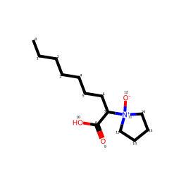 CCCCCCCC(C(=O)O)[N+]1([O-])CCCC1